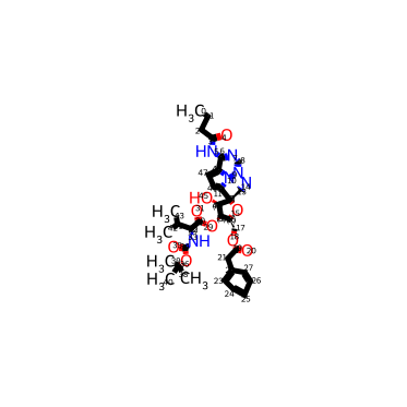 CCCC(=O)Nc1ncnn2c([C@]3(C#N)O[C@H](COC(=O)Cc4ccccc4)[C@@H](OC(=O)[C@@H](NC(=O)OC(C)(C)C)C(C)C)[C@H]3O)ccc12